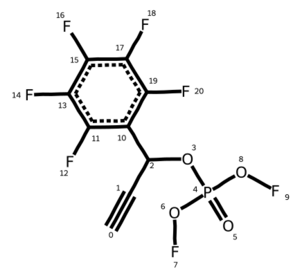 C#CC(OP(=O)(OF)OF)c1c(F)c(F)c(F)c(F)c1F